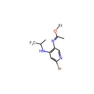 CCO/C(C)=N/c1cnc(Br)cc1NC(C)C(F)(F)F